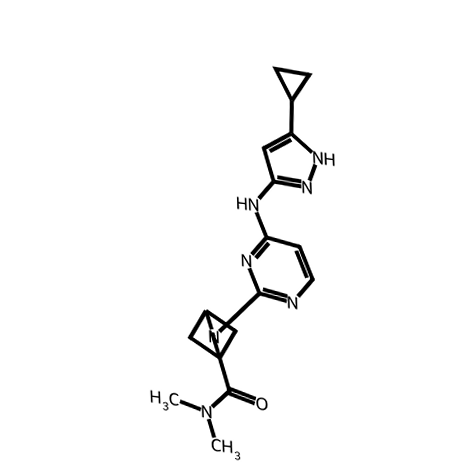 CN(C)C(=O)C12CC(C1)N(c1nccc(Nc3cc(C4CC4)[nH]n3)n1)C2